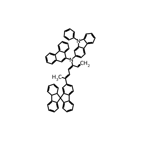 C=C/C(=C\C=C(/C)c1ccc2c(c1)C1(c3ccccc3-2)c2ccccc2C2C=CC=CC21)N(c1ccc2c3ccccc3n(-c3ccccc3)c2c1)c1cc2ccccc2c2ccccc12